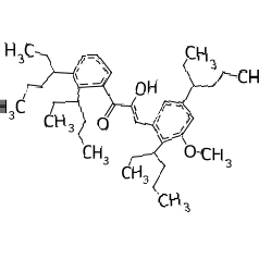 CCCC(CC)c1cc(C=C(O)C(=O)c2cccc(C(CC)CCC)c2C(CC)CCC)c(C(CC)CCC)c(OC)c1